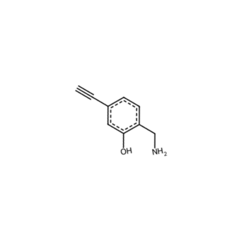 C#Cc1ccc(CN)c(O)c1